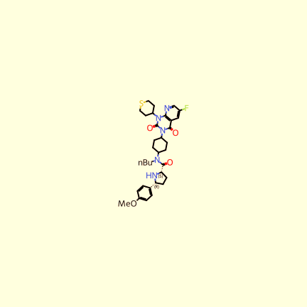 CCCCN(C(=O)[C@@H]1CC[C@H](c2ccc(OC)cc2)N1)C1CCC(n2c(=O)c3cc(F)cnc3n(C3CCSCC3)c2=O)CC1